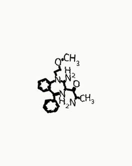 COCCN1c2ccccc2C(c2ccccc2)=NC(C(=O)C(C)N)C1N